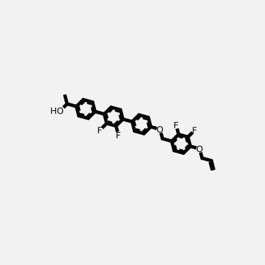 C=CCOc1ccc(COc2ccc(-c3ccc(-c4ccc(C(C)O)cc4)c(F)c3F)cc2)c(F)c1F